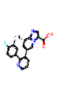 Cc1cc(-c2ncccc2-c2ccc3ncc(C(=O)O)n3c2)ccc1F